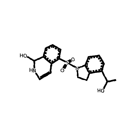 CC(O)c1cccc2c1CCN2S(=O)(=O)c1cccc2c1C=CNC2O